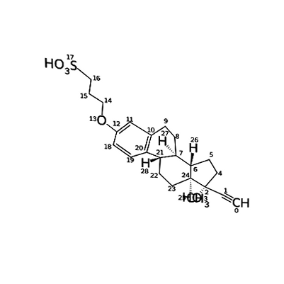 C#C[C@]1(O)CC[C@H]2[C@@H]3CCc4cc(OCCCS(=O)(=O)O)ccc4[C@H]3CC[C@@]21C